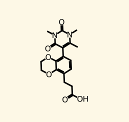 Cc1c(-c2ccc(CCC(=O)O)c3c2OCCO3)c(=O)n(C)c(=O)n1C